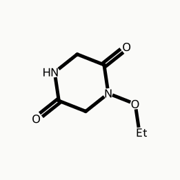 CCON1CC(=O)NCC1=O